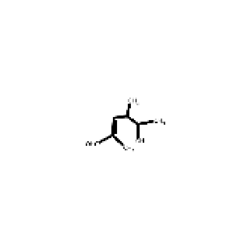 CC(C=O)=CC(C)C(C)O